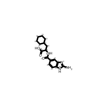 Nc1nc2cc(C(=O)NC(CC3CCCCC3)C(=O)O)ccc2[nH]1